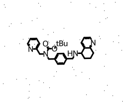 CC(C)(C)OC(=O)N(Cc1ccc(CNC2CCCc3ncccc32)cc1)Cc1ccccn1